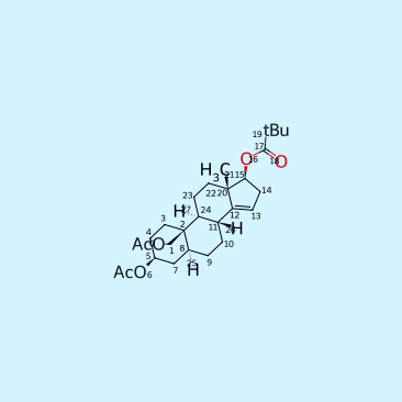 CC(=O)OC[C@]12CC[C@H](OC(C)=O)C[C@@H]1CC[C@H]1C3=CC[C@H](OC(=O)C(C)(C)C)[C@@]3(C)CC[C@@H]12